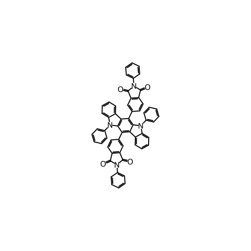 O=C1c2ccc(-c3c4c5ccccc5n(-c5ccccc5)c4c(-c4ccc5c(c4)C(=O)N(c4ccccc4)C5=O)c4c5ccccc5n(-c5ccccc5)c34)cc2C(=O)N1c1ccccc1